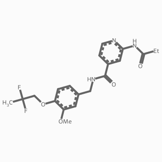 CCC(=O)Nc1cc(C(=O)NCc2ccc(OCC(C)(F)F)c(OC)c2)ccn1